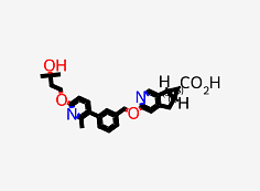 Cc1nc(OCCC(C)(C)O)ccc1-c1cccc(COc2cc3c(cn2)[C@H]2[C@@H](C3)[C@@H]2C(=O)O)c1